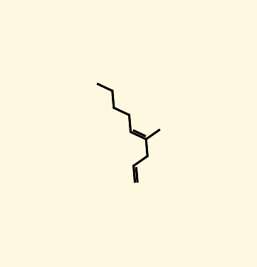 C=CCC(C)=CCCCC